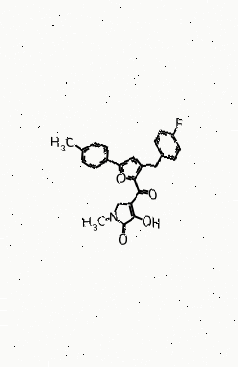 Cc1ccc(-c2cc(Cc3ccc(F)cc3)c(C(=O)C3=C(O)C(=O)N(C)C3)o2)cc1